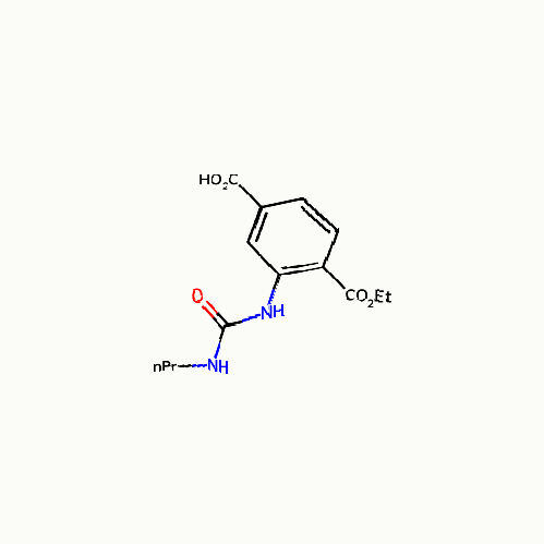 CCCNC(=O)Nc1cc(C(=O)O)ccc1C(=O)OCC